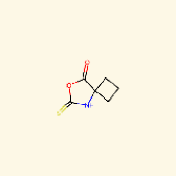 O=C1OC(=S)NC12CCC2